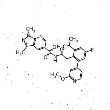 COc1cc(-c2cc(F)cc(C(C)C)c2CC(=O)NS(=O)(=O)c2cnc3c(c2)c(C)nn3C)ccn1